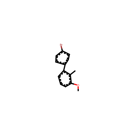 COc1[c]ccc(-c2ccc(Br)cc2)c1C